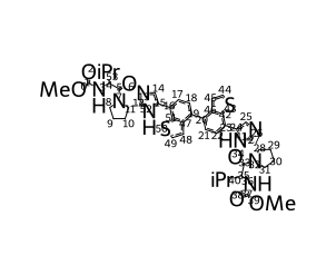 COC(=O)N[C@H](C(=O)N1CCC[C@H]1c1ncc(-c2ccc(-c3ccc(-c4cnc([C@@H]5CCCN5C(=O)[C@@H](NC(=O)OC)C(C)C)[nH]4)c4sccc34)c3ccsc23)[nH]1)C(C)C